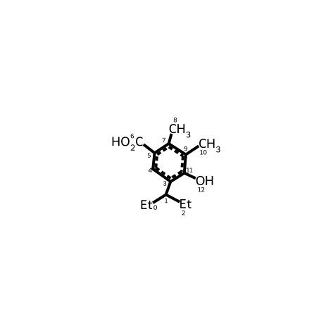 CCC(CC)c1cc(C(=O)O)c(C)c(C)c1O